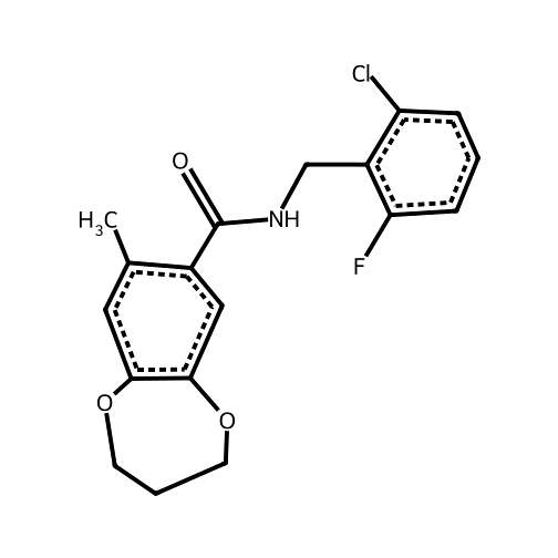 Cc1cc2c(cc1C(=O)NCc1c(F)cccc1Cl)OCCCO2